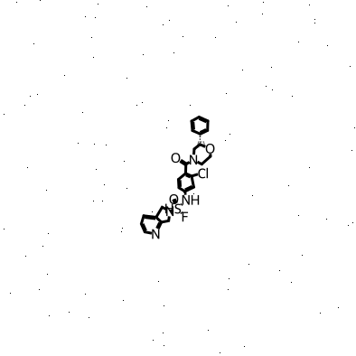 O=C(c1ccc(N[SH](=O)(F)N2Cc3cccnc3C2)cc1Cl)N1CCO[C@@H](c2ccccc2)C1